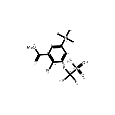 COC(=O)c1cc([N+](C)(C)C)ccc1Br.O=S(=O)(O)C(F)(F)F